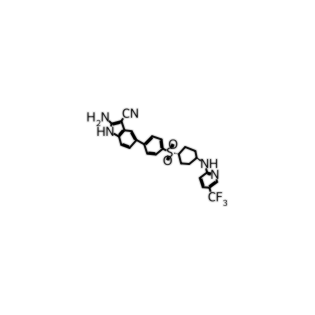 N#Cc1c(N)[nH]c2ccc(-c3ccc(S(=O)(=O)[C@H]4CC[C@H](Nc5ccc(C(F)(F)F)cn5)CC4)cc3)cc12